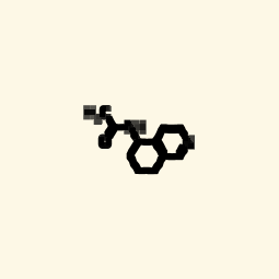 CC(=O)N[C@@H]1CCCc2cnccc21